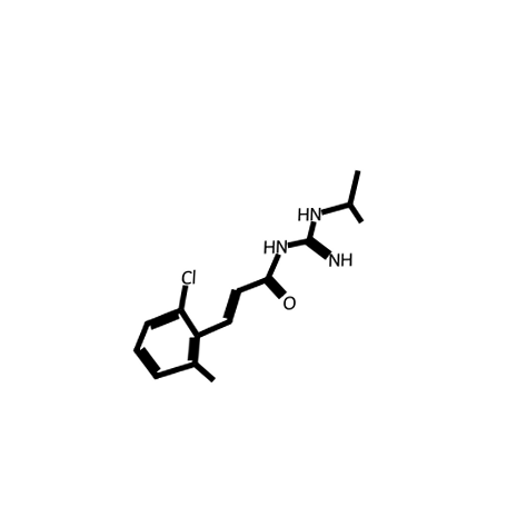 Cc1cccc(Cl)c1/C=C/C(=O)NC(=N)NC(C)C